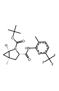 Cc1ccc(C(F)(F)F)nc1NC(=O)[C@@H]1C[C@@]2(C)C[C@H]2N1C(=O)OC(C)(C)C